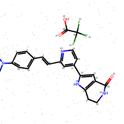 CN(C)c1ccc(/C=C/c2cc(-c3cc4c([nH]3)CCNC4=O)ccn2)cc1.O=C(O)C(F)(F)F